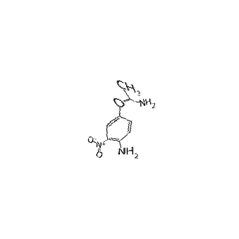 CC(N)Oc1ccc(N)c([N+](=O)[O-])c1